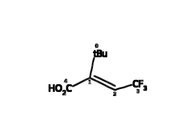 CC(C)(C)/C(=C\C(F)(F)F)C(=O)O